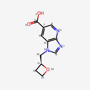 O=C(O)c1cnc2ncn(C[C@@H]3CCO3)c2c1